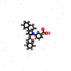 O=C(O)c1cccc(-n2c(C3Cc4ccccc4O3)cc3c2CCc2ccccc2-3)c1